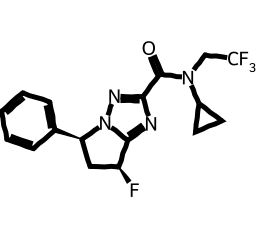 O=C(c1nc2n(n1)[C@H](c1ccccc1)C[C@@H]2F)N(CC(F)(F)F)C1CC1